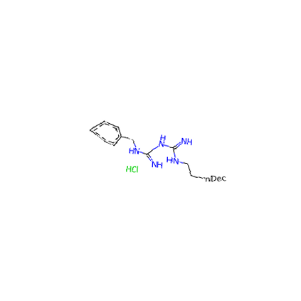 CCCCCCCCCCCCNC(=N)NC(=N)NCc1ccccc1.Cl